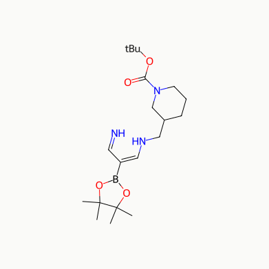 CC(C)(C)OC(=O)N1CCCC(CN/C=C(\C=N)B2OC(C)(C)C(C)(C)O2)C1